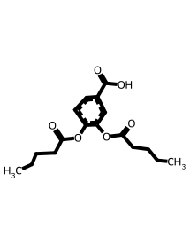 CCCCC(=O)Oc1ccc(C(=O)O)cc1OC(=O)CCCC